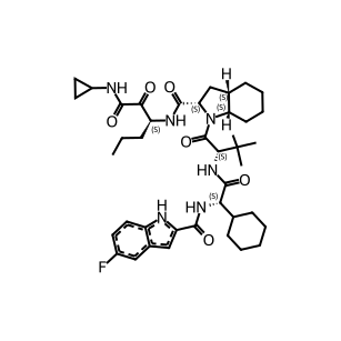 CCC[C@H](NC(=O)[C@@H]1C[C@@H]2CCCC[C@@H]2N1C(=O)[C@@H](NC(=O)[C@@H](NC(=O)c1cc2cc(F)ccc2[nH]1)C1CCCCC1)C(C)(C)C)C(=O)C(=O)NC1CC1